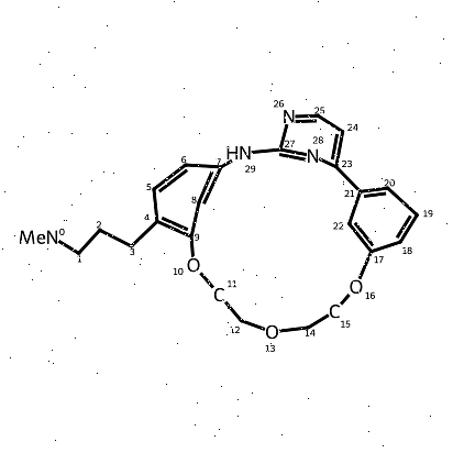 CNCCCc1ccc2cc1OCCOCCOc1cccc(c1)-c1ccnc(n1)N2